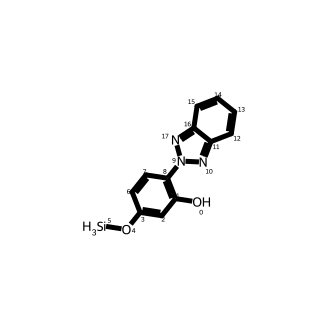 Oc1cc(O[SiH3])ccc1-n1nc2ccccc2n1